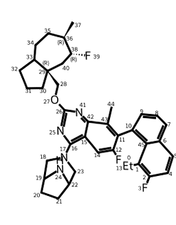 CCc1c(F)ccc2cccc(-c3c(F)cc4c(N5CC6CCC(C5)N6)nc(OC[C@@]56CCCC5CC[C@@H](C)[C@H](F)C6)nc4c3C)c12